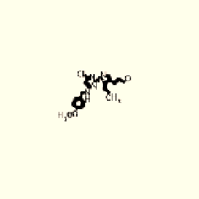 CCCc1c(/C=C/C=O)cnn1-c1nc(Cl)cc(NCc2ccc(OC)cc2)n1